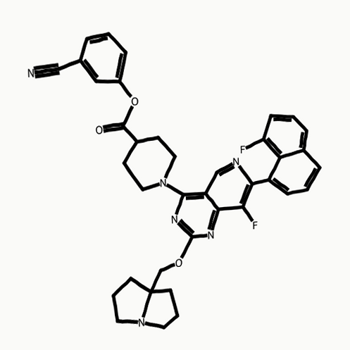 N#Cc1cccc(OC(=O)C2CCN(c3nc(OCC45CCCN4CCC5)nc4c(F)c(-c5cccc6cccc(F)c56)ncc34)CC2)c1